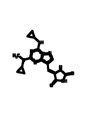 CN(c1nc(NC2CC2)n2ncc(/C=C3\NC(=O)NC3=O)c2n1)C1CC1